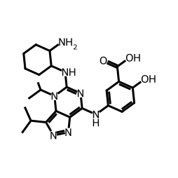 CC(C)c1nnc2c(Nc3ccc(O)c(C(=O)O)c3)nc(NC3CCCCC3N)n(C(C)C)c1-2